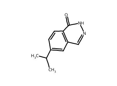 CC(C)c1ccc2c(=O)[nH]ncc2c1